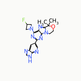 CC1(C)OCCn2c1nc1c(N3CC(F)C3)nc(-c3cnc4[nH]cnc4c3)nc12